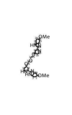 COc1ccc2[nH]c(C3=CC(OCCOCCOc4ccnc(-c5nc6cc(OC)ccc6[nH]5)c4)=CCN3)nc2c1